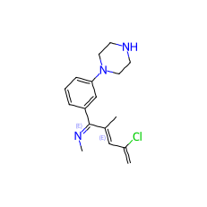 C=C(Cl)/C=C(C)/C(=N\C)c1cccc(N2CCNCC2)c1